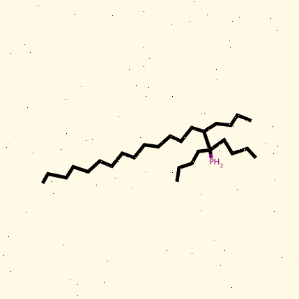 CCCCCCCCCCCCCCC(CCCC)C(P)(CCCC)CCCC